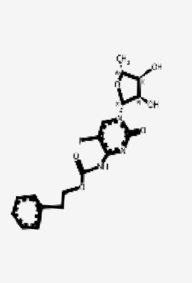 C[C@H]1O[C@@H](n2cc(I)c(NC(=O)OCCc3ccccc3)nc2=O)[C@H](O)[C@@H]1O